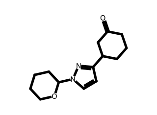 O=C1CCCC(c2ccn(C3CCCCO3)n2)C1